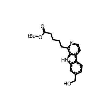 CC(C)(C)OC(=O)CCCCc1nccc2c1[nH]c1cc(CO)ccc12